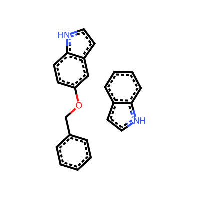 c1ccc(COc2ccc3[nH]ccc3c2)cc1.c1ccc2[nH]ccc2c1